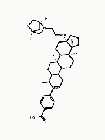 CC1C(c2ccc(C(=O)O)cc2)=CC[C@@]2(C)C1CC[C@@]1(C)C3CC[C@@]4(NCCN5C[C@@H]6C[C@H]5CO6)CCC[C@@H]4[C@H]3CCC21